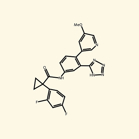 COc1cncc(-c2ccc(NC(=O)C3(c4ccc(F)cc4F)CC3)cc2-c2nnn[nH]2)c1